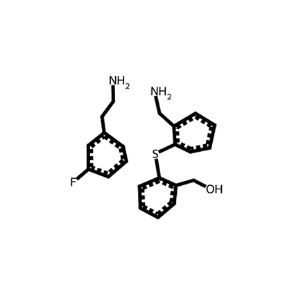 NCCc1cccc(F)c1.NCc1ccccc1Sc1ccccc1CO